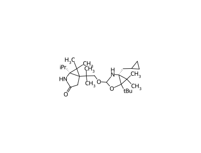 CC(C)[C@@]12NC(=O)CC1(C(C)(C)COC1N[C@@]3(CC4CC4)C(C)(C)C3(C(C)(C)C)O1)C2(C)C